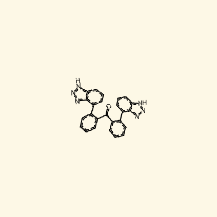 O=C(c1ccccc1-c1cccc2[nH]nnc12)c1ccccc1-c1cccc2[nH]nnc12